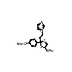 CCCCC1CSC(CCn2ccnc2)(c2ccc(OC)cc2)S1